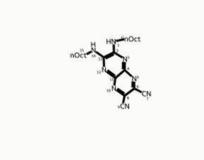 CCCCCCCCNc1nc2nc(C#N)c(C#N)nc2nc1NCCCCCCCC